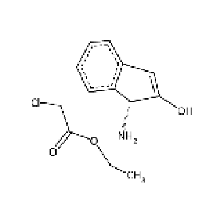 CCOC(=O)CCl.N[C@H]1C(O)=Cc2ccccc21